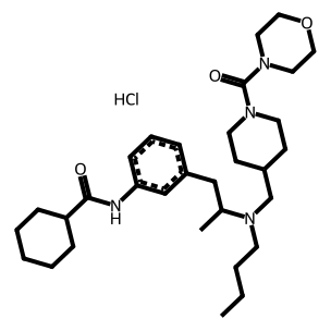 CCCCN(CC1CCN(C(=O)N2CCOCC2)CC1)C(C)Cc1cccc(NC(=O)C2CCCCC2)c1.Cl